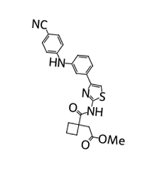 COC(=O)CC1(C(=O)Nc2nc(-c3cccc(Nc4ccc(C#N)cc4)c3)cs2)CCC1